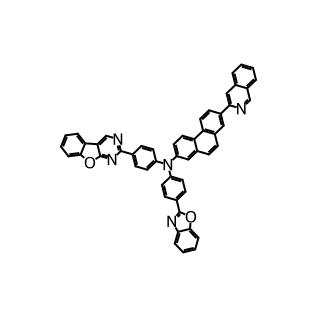 c1ccc2cc(-c3ccc4c(ccc5cc(N(c6ccc(-c7ncc8c(n7)oc7ccccc78)cc6)c6ccc(-c7nc8ccccc8o7)cc6)ccc54)c3)ncc2c1